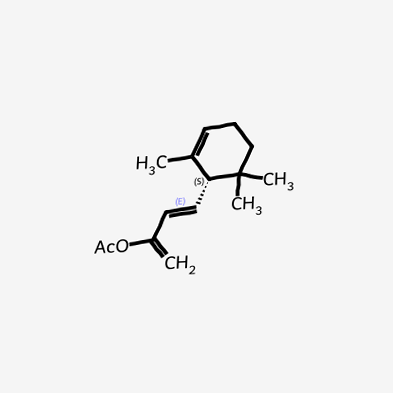 C=C(/C=C/[C@@H]1C(C)=CCCC1(C)C)OC(C)=O